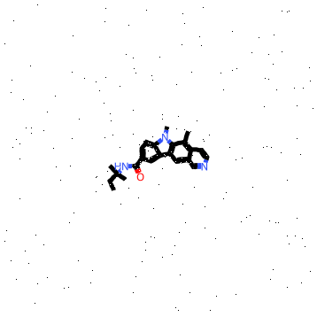 CCC(C)(C)NC(=O)c1ccc2c(c1)c1cc3cnccc3c(C)c1n2C